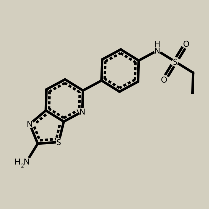 CCS(=O)(=O)Nc1ccc(-c2ccc3nc(N)sc3n2)cc1